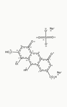 CCCc1c2oc(C(=O)O)cc(=O)c2cc2c(=O)cc(C(=O)O)n(CC)c12.O=S(=O)([O-])[O-].[Na+].[Na+]